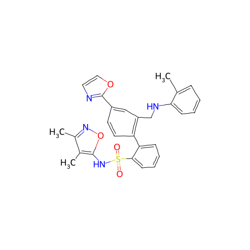 Cc1ccccc1NCc1cc(-c2ncco2)ccc1-c1ccccc1S(=O)(=O)Nc1onc(C)c1C